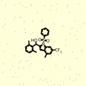 Cc1[c]ccc(C)c1C(O)c1cc2c(C)cc(C(F)(F)F)cc2n1S(=O)(=O)c1ccccc1